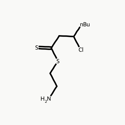 CCCCC(Cl)CC(=S)SCCN